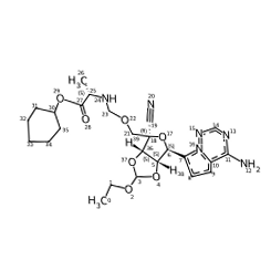 CCOC1O[C@H]2[C@H](c3ccc4c(N)ncnn34)O[C@](C#N)(COCN[C@@H](C)C(=O)OC3CCCCC3)[C@H]2O1